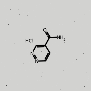 Cl.NC(=O)c1ccnnc1